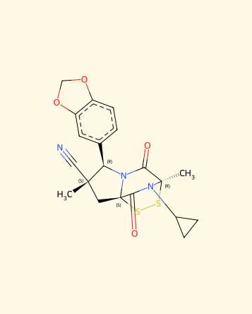 C[C@]1(C#N)C[C@@]23SS[C@](C)(C(=O)N2[C@@H]1c1ccc2c(c1)OCO2)N(C1CC1)C3=O